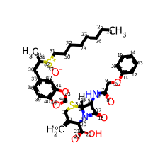 C=C1CS[C@@H]2C(NC(=O)COc3ccccc3)C(=O)N2C1C(=O)O.CCCCCCCC[S+]([O-])C(C)Cc1ccc2c(c1)OCO2